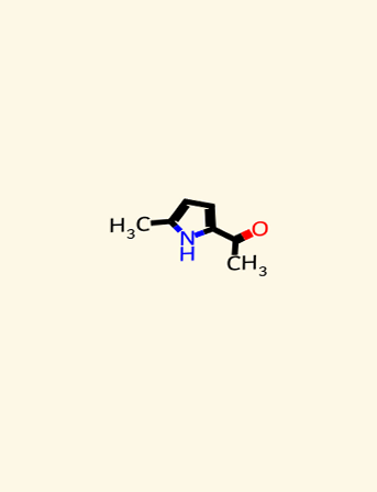 CC(=O)c1ccc(C)[nH]1